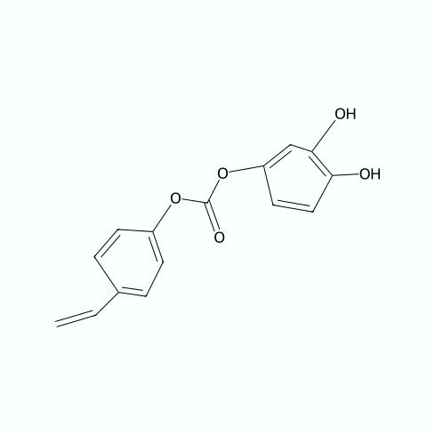 C=Cc1ccc(OC(=O)Oc2ccc(O)c(O)c2)cc1